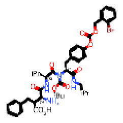 CC(C)CNC(=O)[C@H](Cc1ccc(OC(=O)OCc2ccccc2Br)cc1)N(C(=O)OC(C)(C)C)C(=O)[C@@H](NC(=O)[C@@H](N)C(Cc1ccccc1)C(=O)O)C(C)C